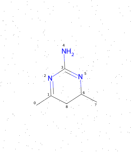 CC1=NC(N)=NC(C)C1